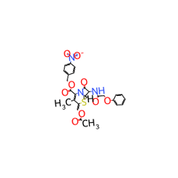 CC(=O)OC=C1S[C@H]2C(NC(=O)COc3ccccc3)C(=O)N2C(C(=O)OCc2ccc([N+](=O)[O-])cc2)=C1C